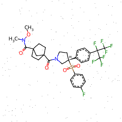 CON(C)C(=O)C12CCC(C(=O)N3CC[C@](c4ccc(C(F)(C(F)(F)F)C(F)(F)F)cc4)(S(=O)(=O)c4ccc(F)cc4)C3)(CC1)C2